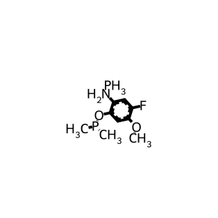 COc1cc(OP(C)C)c(N)cc1F.P